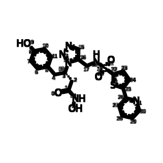 O=C(C[C@H](Cc1ccc(O)cc1)n1nncc1CNS(=O)(=O)c1ccc(-c2ccccn2)s1)NO